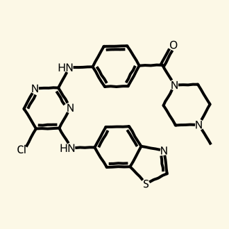 CN1CCN(C(=O)c2ccc(Nc3ncc(Cl)c(Nc4ccc5ncsc5c4)n3)cc2)CC1